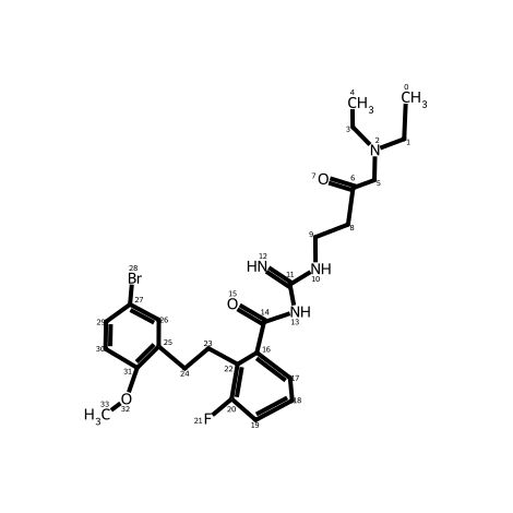 CCN(CC)CC(=O)CCNC(=N)NC(=O)c1cccc(F)c1CCc1cc(Br)ccc1OC